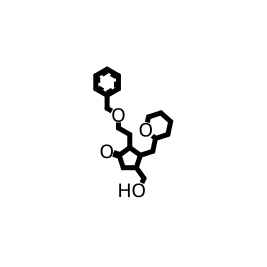 O=C1CC(CO)C(CC2CCCCO2)C1CCOCc1ccccc1